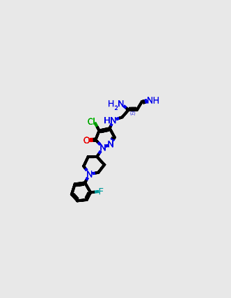 N=C/C=C(\N)CNc1cnn(C2CCN(c3ccccc3F)CC2)c(=O)c1Cl